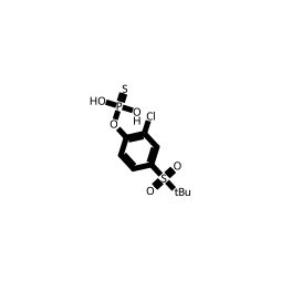 CC(C)(C)S(=O)(=O)c1ccc(OP(O)(O)=S)c(Cl)c1